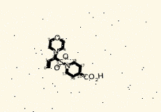 C=CC(N1CCOCC1)S(=O)(=O)N1CCC(C(=O)O)CC1